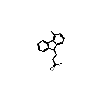 Cc1cccc2c1-c1ccccc1C2CCC(=O)Cl